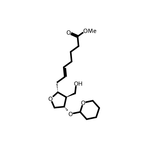 COC(=O)CCCC=CC[C@H]1OC[C@@H](OC2CCCCO2)[C@@H]1CO